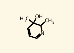 CC1N=CC=CC1(C)O